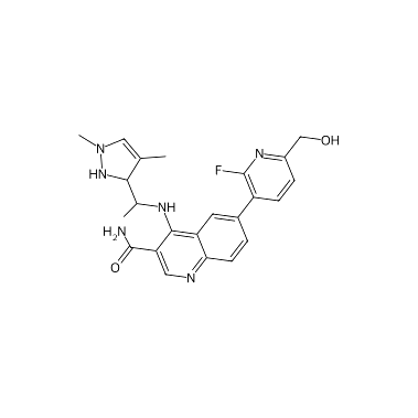 CC1=CN(C)NC1C(C)Nc1c(C(N)=O)cnc2ccc(-c3ccc(CO)nc3F)cc12